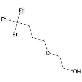 CCC(CC)(CC)CCCOCCO